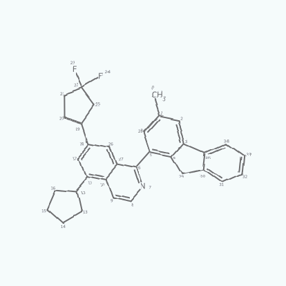 Cc1cc2c(c(-c3nccc4c(C5CCCC5)cc(C5CCC(F)(F)C5)cc34)c1)Cc1ccccc1-2